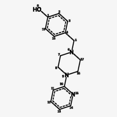 Oc1ccc(CN2CCN(c3ccccn3)CC2)cc1